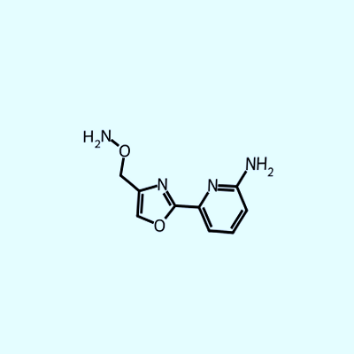 NOCc1coc(-c2cccc(N)n2)n1